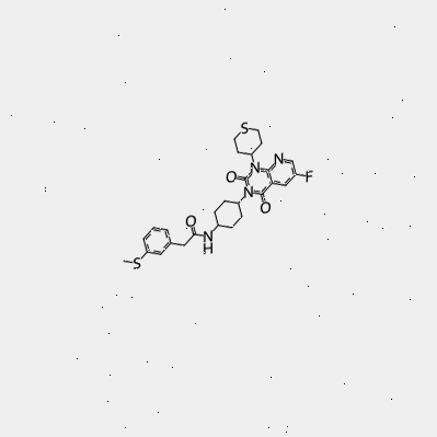 CSc1cccc(CC(=O)NC2CCC(n3c(=O)c4cc(F)cnc4n(C4CCSCC4)c3=O)CC2)c1